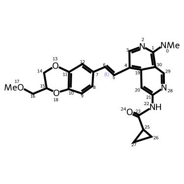 CNc1ncc(/C=C/c2ccc3c(c2)OCC(COC)O3)c2cc(NC(=O)C3CC3)ncc12